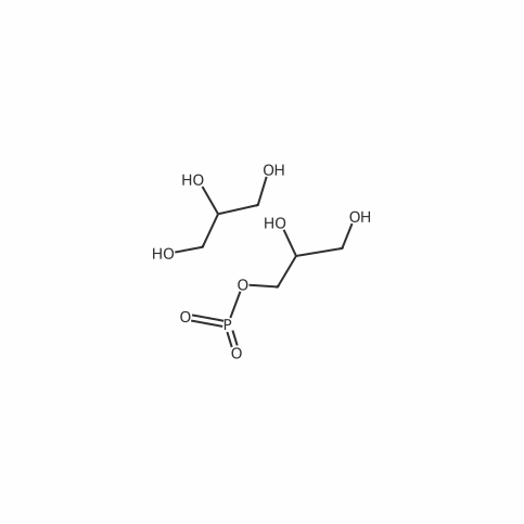 O=P(=O)OCC(O)CO.OCC(O)CO